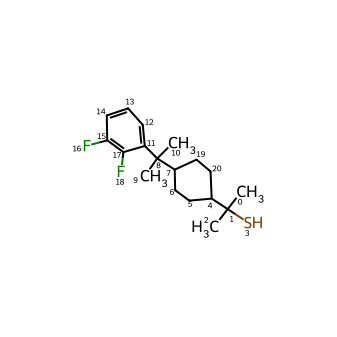 CC(C)(S)C1CCC(C(C)(C)c2cccc(F)c2F)CC1